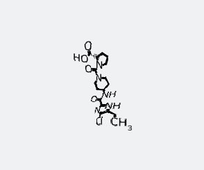 CCc1[nH]c(C(=O)NC2CCN(C(=O)N3CCC[C@H]3C(=O)O)CC2)nc1Cl